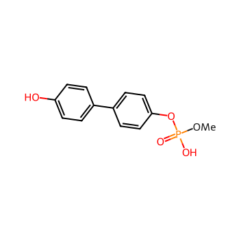 COP(=O)(O)Oc1ccc(-c2ccc(O)cc2)cc1